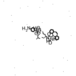 CC[C@@H](CCC[C@@H](CO)N(CCC(C)C)S(=O)(=O)c1ccc(N)cc1)NC(=O)[C@@H](NC(=O)OC)C1c2ccccc2C=Cc2ccccc21